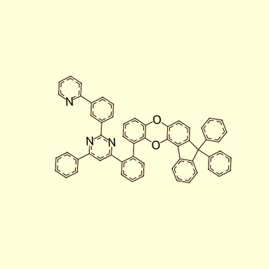 c1ccc(-c2cc(-c3ccccc3-c3cccc4c3Oc3c(ccc5c3-c3ccccc3C5(c3ccccc3)c3ccccc3)O4)nc(-c3cccc(-c4ccccn4)c3)n2)cc1